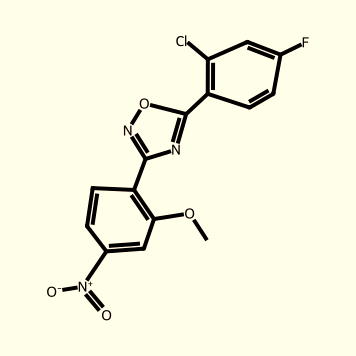 COc1cc([N+](=O)[O-])ccc1-c1noc(-c2ccc(F)cc2Cl)n1